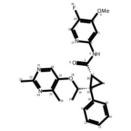 COc1cc(NC(=O)[C@@H]2C[C@]2(c2ccccc2)C(C)Oc2cnc(C)nc2C)ncc1F